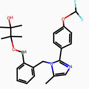 Cc1cnc(-c2ccc(OC(F)F)cc2)n1Cc1ccccc1BOC(C)(C)C(C)(C)O